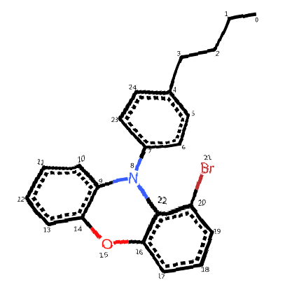 CCCCc1ccc(N2c3ccccc3Oc3cccc(Br)c32)cc1